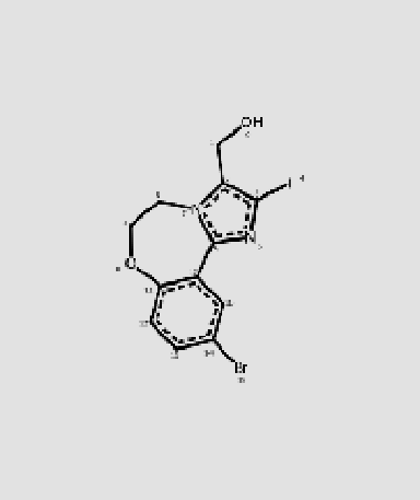 OCc1c(I)nc2n1CCOc1ccc(Br)cc1-2